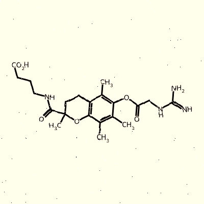 Cc1c(C)c2c(c(C)c1OC(=O)CNC(=N)N)CCC(C)(C(=O)NCCCC(=O)O)O2